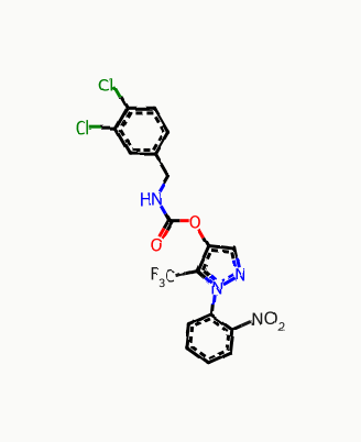 O=C(NCc1ccc(Cl)c(Cl)c1)Oc1cnn(-c2ccccc2[N+](=O)[O-])c1C(F)(F)F